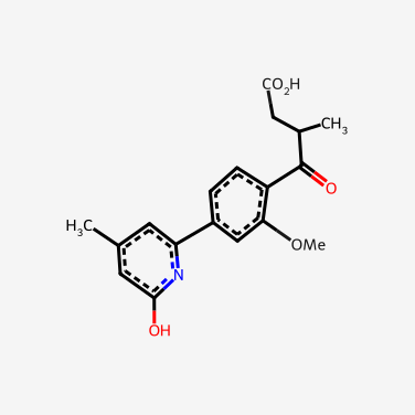 COc1cc(-c2cc(C)cc(O)n2)ccc1C(=O)C(C)CC(=O)O